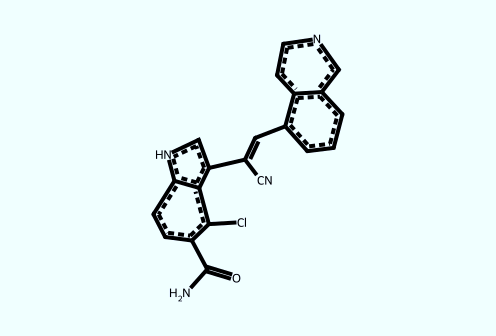 N#C/C(=C\c1cccc2cnccc12)c1c[nH]c2ccc(C(N)=O)c(Cl)c12